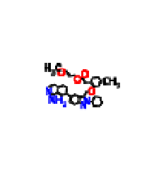 COCCCOC(=O)Cc1ccc(C)cc1OCc1c2cc(-c3ccc4ccnc(N)c4c3)ccc2nn1C1CCCCC1